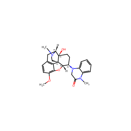 COc1ccc2c3c1O[C@H]1[C@H](N4CC(=O)N(C)c5ccccc54)CC[C@@]4(O)[C@@H](C2)N(C)CC[C@]314